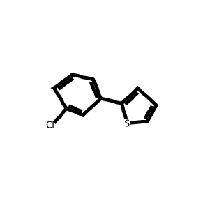 Clc1[c]ccc(-c2cccs2)c1